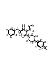 CC[C@H](C)[C@@H](NC(=O)Cc1ccccc1)C(=O)N1CCC(c2ccc(Cl)cc2)CC1